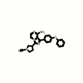 N#CN1CCC(c2nc(-c3ccc(Oc4ccccc4)cc3)c3c(N)nccn23)C1